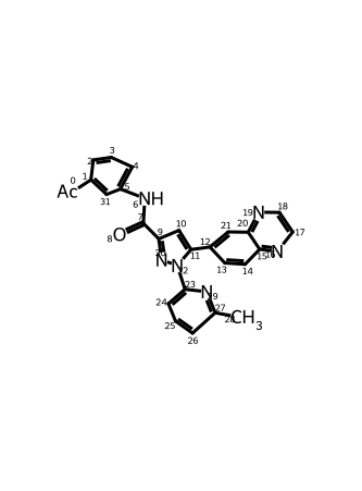 CC(=O)c1cccc(NC(=O)c2cc(-c3ccc4nccnc4c3)n(-c3cccc(C)n3)n2)c1